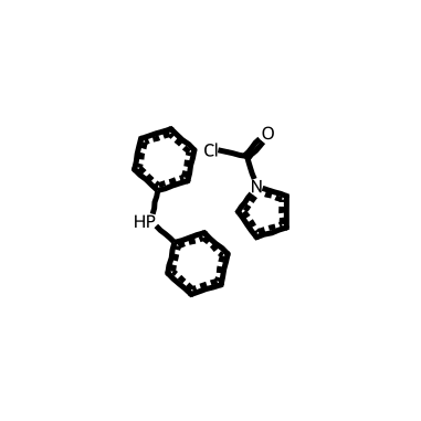 O=C(Cl)n1cccc1.c1ccc(Pc2ccccc2)cc1